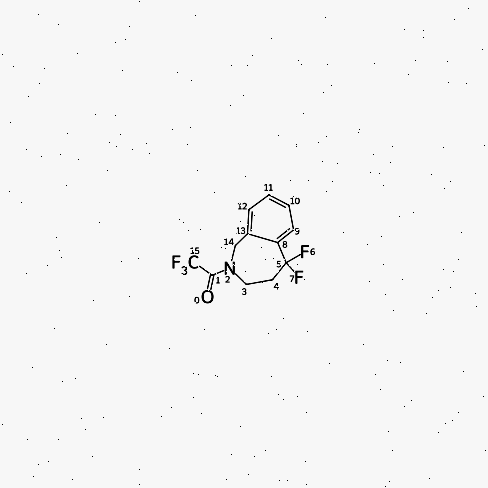 O=C(N1CCC(F)(F)c2ccccc2C1)C(F)(F)F